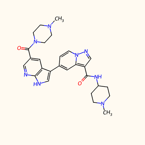 CN1CCC(NC(=O)c2cnn3ccc(-c4c[nH]c5ncc(C(=O)N6CCN(C)CC6)cc45)cc23)CC1